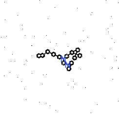 c1ccc(C2(c3ccccc3)c3ccccc3-c3ccc(-c4ccc(N(c5ccc(-c6ccc(-c7cccc(-c8ccc9ccccc9c8)c7)cc6)cc5)c5cccc(-n6c7ccccc7c7ccccc76)c5)cc4)cc32)cc1